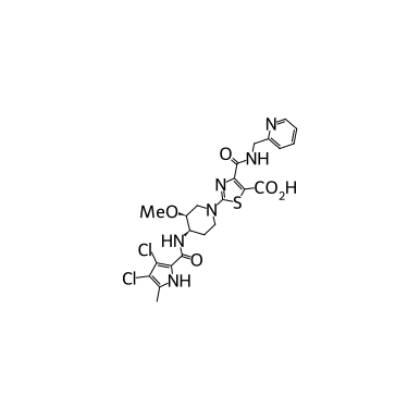 CO[C@H]1CN(c2nc(C(=O)NCc3ccccn3)c(C(=O)O)s2)CC[C@H]1NC(=O)c1[nH]c(C)c(Cl)c1Cl